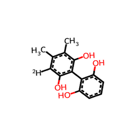 [2H]c1c(C)c(C)c(O)c(-c2c(O)cccc2O)c1O